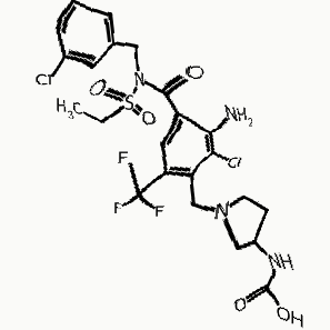 CCS(=O)(=O)N(Cc1cccc(Cl)c1)C(=O)c1cc(C(F)(F)F)c(CN2CCC(NC(=O)O)C2)c(Cl)c1N